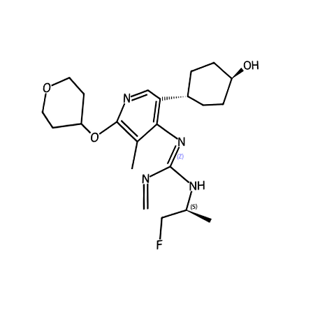 C=N/C(=N\c1c(C)c(OC2CCOCC2)ncc1[C@H]1CC[C@H](O)CC1)N[C@@H](C)CF